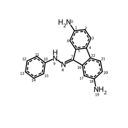 Nc1ccc2c(c1)C(=NNc1ccccc1)c1cc(N)ccc1-2